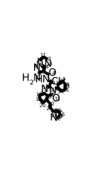 C[C@H](NC(=O)c1c(N)nn2cccnc12)c1nc2cccc(/C=C/c3cscn3)c2c(=O)n1-c1ccccc1